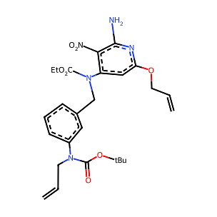 C=CCOc1cc(N(Cc2cccc(N(CC=C)C(=O)OC(C)(C)C)c2)C(=O)OCC)c([N+](=O)[O-])c(N)n1